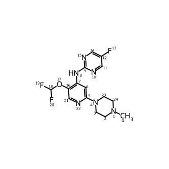 CN1CCN(c2cc(Nc3ncc(F)cn3)c(OC(F)F)cn2)CC1